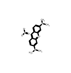 CN(C)c1ccc2cc3ccc(N(C)C)cc3[o+]c2c1.O=[N+]([O-])[O-]